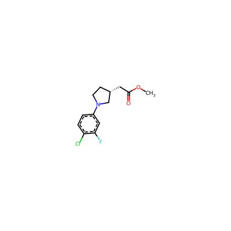 COC(=O)C[C@H]1CCN(c2ccc(Cl)c(F)c2)C1